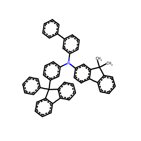 CC1(C)c2ccccc2-c2ccc(N(c3cccc(-c4ccccc4)c3)c3cccc(C4(c5ccccc5)c5ccccc5-c5ccccc54)c3)cc21